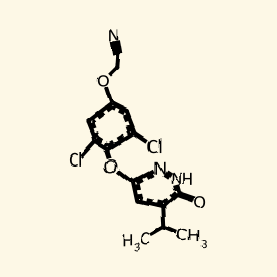 CC(C)c1cc(Oc2c(Cl)cc(OCC#N)cc2Cl)n[nH]c1=O